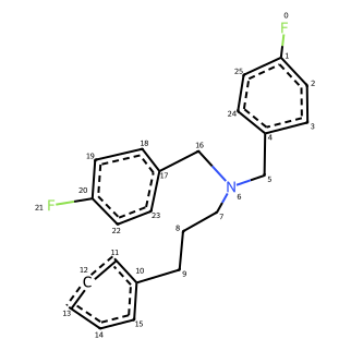 Fc1ccc(CN(CCCc2ccccc2)Cc2ccc(F)cc2)cc1